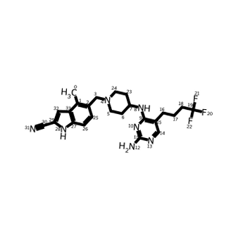 Cc1c(CN2CCC(Nc3nc(N)ncc3CCCC(F)(F)F)CC2)ccc2[nH]c(C#N)cc12